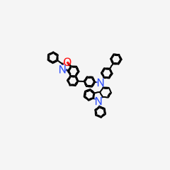 C1=CC2C(C(N(c3ccc(-c4ccccc4)cc3)c3ccc(-c4cccc5c4ccc4oc(-c6ccccc6)nc45)cc3)=C1)c1ccccc1N2c1ccccc1